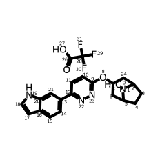 CN1C2CCC1CC(Oc1ccc(-c3ccc4cc[nH]c4c3)nn1)C2.O=C(O)C(F)(F)F